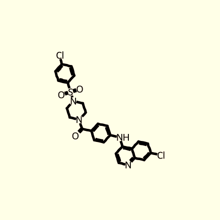 O=C(c1ccc(Nc2ccnc3cc(Cl)ccc23)cc1)N1CCN(S(=O)(=O)c2ccc(Cl)cc2)CC1